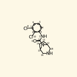 O=C(Nc1cccc(Cl)c1Cl)N1C2CCC1CNC2